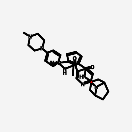 COc1cccc(C(=O)NC2CC3CCC(C2)N3c2ccc(C(=O)Nc3ccc(N4CCN(C)CC4)cc3)cn2)c1C